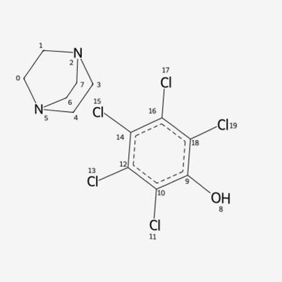 C1CN2CCN1CC2.Oc1c(Cl)c(Cl)c(Cl)c(Cl)c1Cl